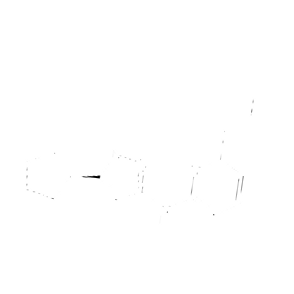 COCc1cccc(Nc2cc([C@H]3C[CH]CC3)[nH]n2)n1